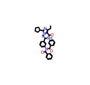 CCc1nc(C2CCCC2)n2nc(-c3cccc(N(C(=O)c4ccccc4)C(=O)c4ccccc4)c3)[nH]c(=O)c12